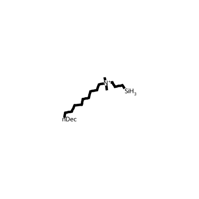 CCCCCCCCCCCCCCCCCCC[N+](C)(C)CCC[SiH3]